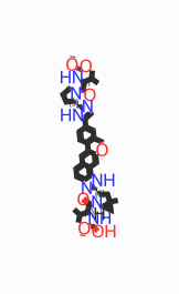 COC(=O)N[C@H](C(=O)N1CCC[C@H]1c1ncc(-c2ccc3c(c2)COc2cc4c(ccc5nc([C@@H]6CC7(C)C[C@H]7N6C(=O)[C@@H](NC(O)OC)C(C)C)[nH]c54)cc2-3)[nH]1)C(C)C